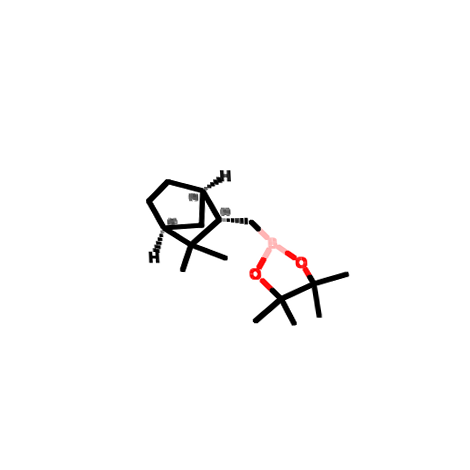 CC1(C)[C@H]2CC[C@H](C2)[C@@H]1CB1OC(C)(C)C(C)(C)O1